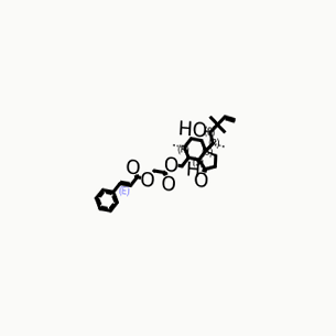 C=CC(C)(C)[C@@H](O)[C@H](C)[C@]12CCC(=O)[C@H]1C(COC(=O)COC(=O)/C=C/c1ccccc1)[C@H](C)CC2